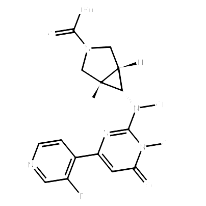 CN(c1nc(-c2ccncc2F)cc(=O)n1C)[C@@H]1[C@@H]2CN(C(=O)C(C)(C)C)C[C@@H]21